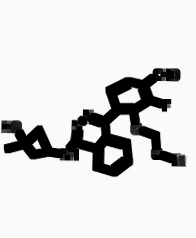 CCOCOc1c(-c2nnc(NC3CC(C)(O)C3)c3ccccc23)ccc(C=O)c1F